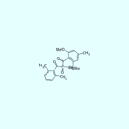 CCC(C)P(=O)(C(=O)c1c(C)cccc1C)C(=O)c1c(OC)cc(C)cc1OC